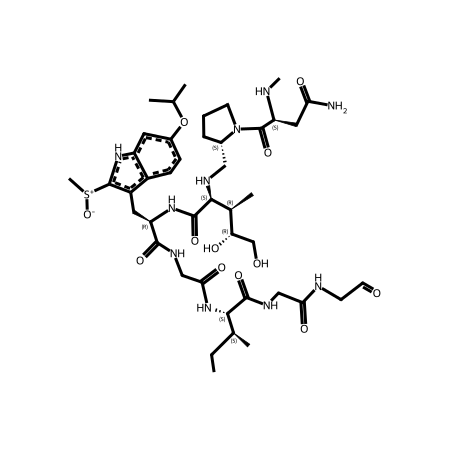 CC[C@H](C)[C@H](NC(=O)CNC(=O)[C@@H](Cc1c([S+](C)[O-])[nH]c2cc(OC(C)C)ccc12)NC(=O)[C@@H](NC[C@@H]1CCCN1C(=O)[C@H](CC(N)=O)NC)[C@@H](C)[C@@H](O)CO)C(=O)NCC(=O)NCC=O